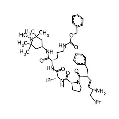 CC(C)C[C@H](N)/C=C/[C@H](Cc1ccccc1)C(=O)N1CCC[C@H]1C(=O)N[C@@H](C(=O)N[C@@H](CCCNC(=O)OCc1ccccc1)C(=O)NC1CC(C)(C)N(O)C(C)(C)C1)C(C)C